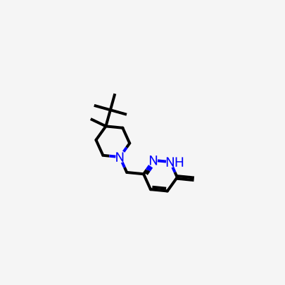 C=C1C=CC(CN2CCC(C)(C(C)(C)C)CC2)=NN1